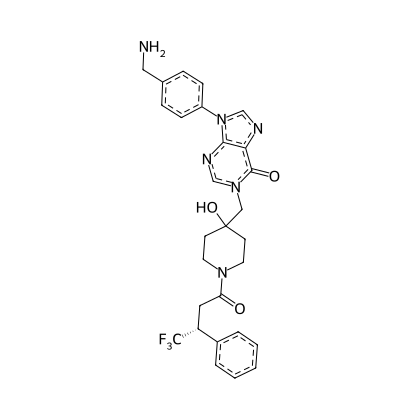 NCc1ccc(-n2cnc3c(=O)n(CC4(O)CCN(C(=O)C[C@H](c5ccccc5)C(F)(F)F)CC4)cnc32)cc1